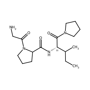 CCC(C)[C@H](NC(=O)C1CCCN1C(=O)CN)C(=O)N1CCCC1